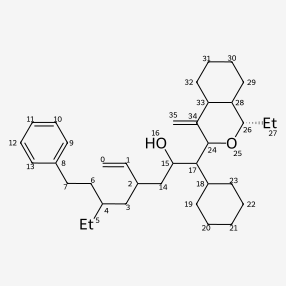 C=CC(CC(CC)CCc1ccccc1)CC(O)C(C1CCCCC1)C1O[C@@H](CC)C2CCCCC2C1=C